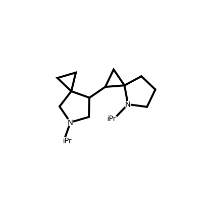 CC(C)N1CC(C2CC23CCCN3C(C)C)C2(CC2)C1